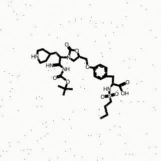 CCCCS(=O)(=O)NC(Cc1ccc(OCC2CN(C(CC3CCNCC3)C(=N)NC(=O)OC(C)(C)C)C(=O)O2)cc1)C(=O)O